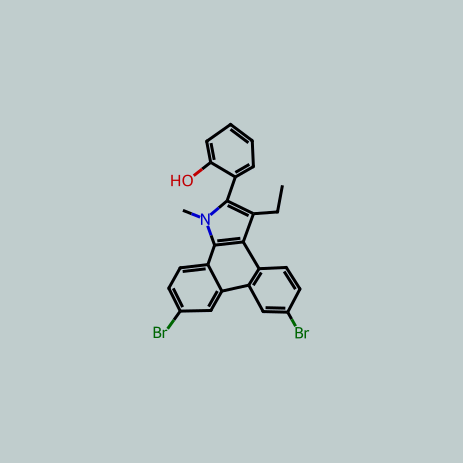 CCc1c(-c2ccccc2O)n(C)c2c3ccc(Br)cc3c3cc(Br)ccc3c12